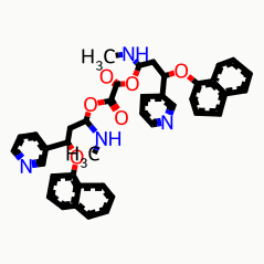 CNC(CC(Oc1cccc2ccccc12)c1cccnc1)OC(=O)C(=O)OC(CC(Oc1cccc2ccccc12)c1cccnc1)NC